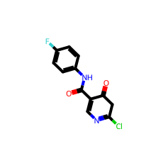 O=C1CC(Cl)=NC=C1C(=O)Nc1ccc(F)cc1